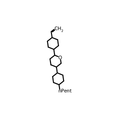 C=CC1CCC(C2CCC(C3CCC(CCCCC)CC3)CO2)CC1